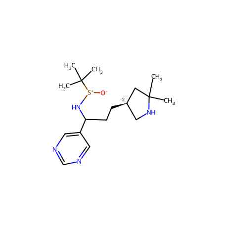 CC1(C)C[C@H](CCC(N[S+]([O-])C(C)(C)C)c2cncnc2)CN1